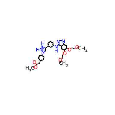 COCCOc1cc2ncnc(Nc3cccc(C4=CN(c5ccc(CC(=O)OC)cc5)NN4)c3)c2cc1OCCOC